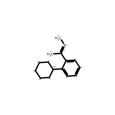 C/N=C(\C)c1ccccc1C1CCCCC1